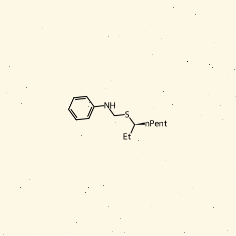 CCCCC[C@@H](CC)SCNc1ccccc1